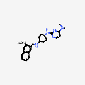 COc1cc2ccccc2cc1CNC1CCC(Nc2nccc(N(C)C)n2)CC1